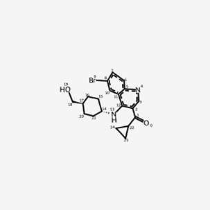 O=C(c1cnc2ccc(Br)cc2c1N[C@H]1CC[C@H](CO)CC1)C1CC1